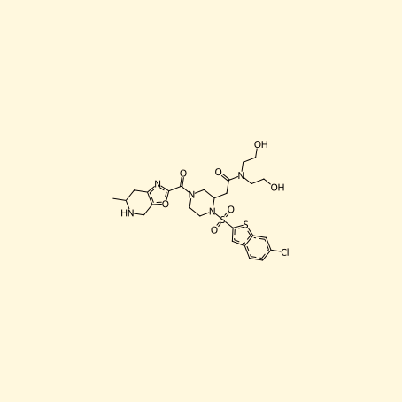 CC1Cc2nc(C(=O)N3CCN(S(=O)(=O)c4cc5ccc(Cl)cc5s4)C(CC(=O)N(CCO)CCO)C3)oc2CN1